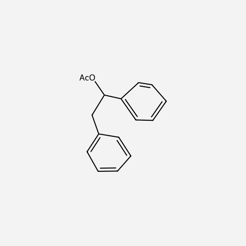 CC(=O)OC(Cc1ccccc1)c1ccccc1